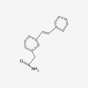 NC(=O)Cc1cccc(C=Cc2ccccc2)c1